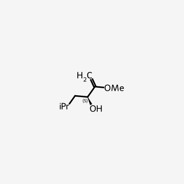 C=C(OC)[C@@H](O)CC(C)C